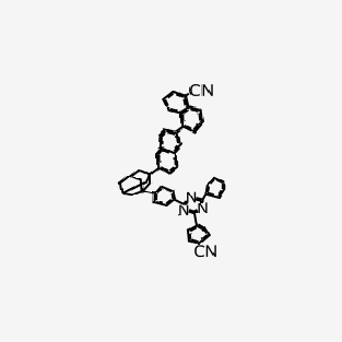 N#Cc1ccc(-c2nc(-c3ccccc3)nc(-c3ccc(C45CC6CC(C4)CC(c4ccc7cc(-c8cccc9c(C#N)cccc89)ccc7c4)(C6)C5)cc3)n2)cc1